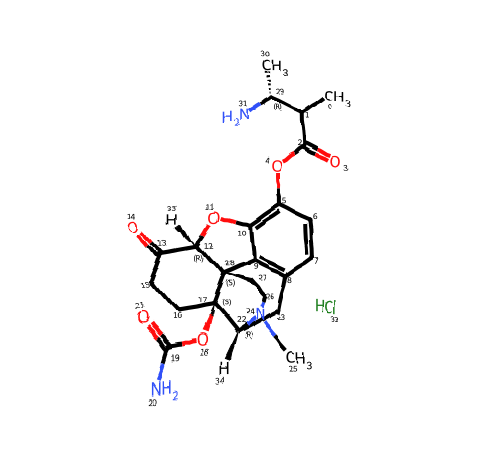 CC(C(=O)Oc1ccc2c3c1O[C@H]1C(=O)CC[C@@]4(OC(N)=O)[C@@H](C2)N(C)CC[C@]314)[C@@H](C)N.Cl